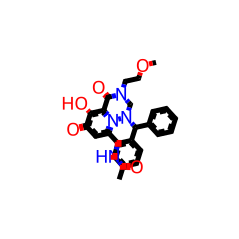 COCCN1CN(C(c2ccccc2)c2ccccc2)n2c(CNC(C)=O)cc(=O)c(O)c2C1=O